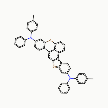 Cc1ccc(N(c2ccccc2)c2ccc3c(c2)Sc2cccc4c2c-3cc2sc3cc(N(c5ccccc5)c5ccc(C)cc5)ccc3c24)cc1